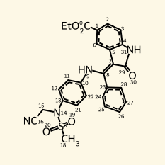 CCOC(=O)c1ccc2c(c1)C(=C(Nc1ccc(N(CC#N)S(C)(=O)=O)cc1)c1ccccc1)C(=O)N2